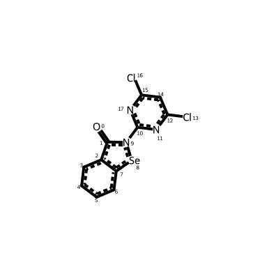 O=c1c2ccccc2[se]n1-c1nc(Cl)cc(Cl)n1